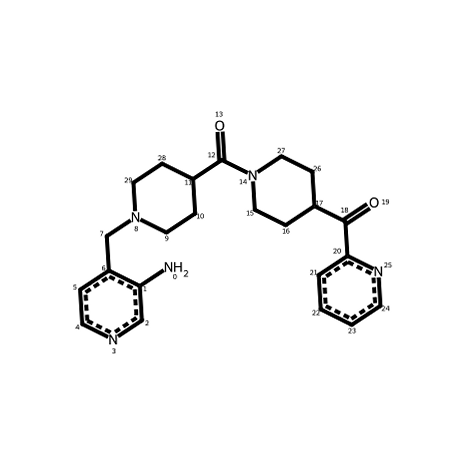 Nc1cnccc1CN1CCC(C(=O)N2CCC(C(=O)c3ccccn3)CC2)CC1